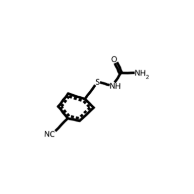 N#Cc1ccc(SNC(N)=O)cc1